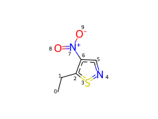 CCc1sncc1[N+](=O)[O-]